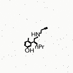 C#CCCNCC/C(=C/CCC)c1cc(O)ccc1C